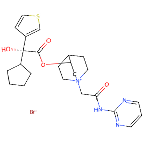 O=C(C[N+]12CCC(CC1)C(OC(=O)[C@](O)(c1ccsc1)C1CCCC1)C2)Nc1ncccn1.[Br-]